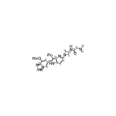 COc1cc(-c2[nH]c3ccc(N4CC(NC(=O)CN(C)C)C4)nc3c2C(C)C)cn2ncnc12